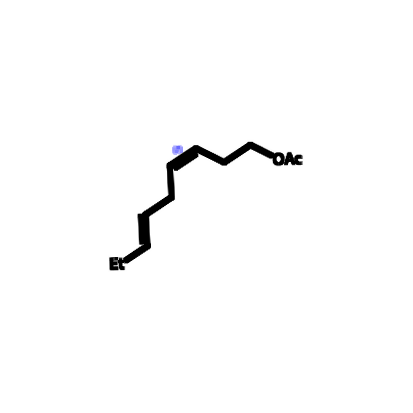 CCC=CC/C=C\CCOC(C)=O